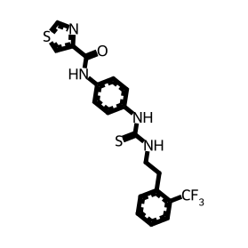 O=C(Nc1ccc(NC(=S)NCCc2ccccc2C(F)(F)F)cc1)c1cscn1